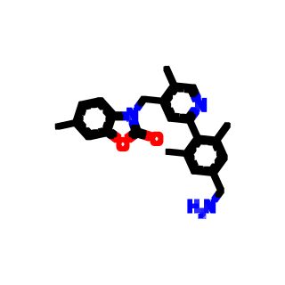 Cc1ccc2c(c1)oc(=O)n2Cc1cc(-c2c(C)cc(CN)cc2C)ncc1C